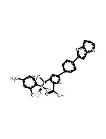 Cc1ccc(P(C)(=O)N(C)c2cc(-c3ccc(-c4cc5ncccc5o4)cc3)sc2C(=O)O)c(C)c1